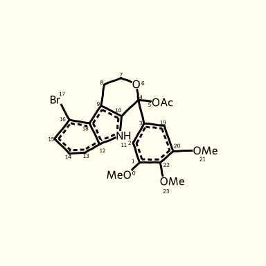 COc1cc(C2(OC(C)=O)OCCc3c2[nH]c2cccc(Br)c32)cc(OC)c1OC